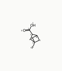 O=C(O)C1CC2(F)CC1C2